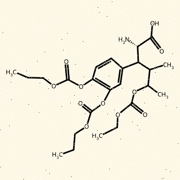 CCCOC(=O)Oc1ccc(C(C(C)C(C)OC(=O)OCC)[C@H](N)C(=O)O)cc1OC(=O)OCCC